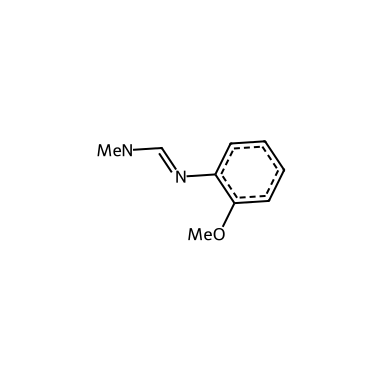 CNC=Nc1ccccc1OC